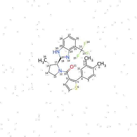 Cc1ccc(-c2sccc2C(=O)N2CC[C@H](C)[C@H]2c2nc3c(C(F)(F)F)cccc3[nH]2)cc1C